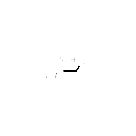 CCCCCOCCCC.[MgH2]